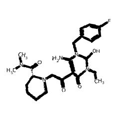 CCN1C(=O)C(C(=O)CN2CCCC[C@@H]2C(=O)N(C)C)=C(N)N(Cc2ccc(F)cc2)C1O